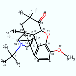 [2H]C1([2H])C[C@H]2[C@@H]3N(C([2H])([2H])[2H])CC[C@@]24c2c(ccc(OC)c2OC4C1=O)C3([2H])[2H]